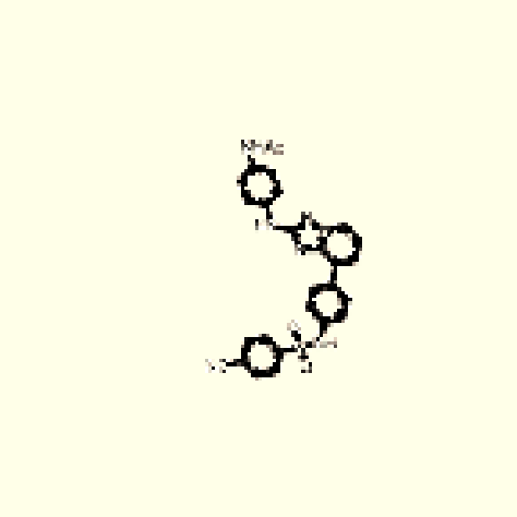 CC(=O)Nc1ccc(Nc2nc3c(-c4ccc(NS(=O)(=O)c5ccc(C#N)cc5)cc4)cccn3n2)cc1